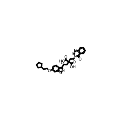 O=C(CC(CCn1nnc2ccccc2c1=O)(C(=O)O)C(=O)O)c1noc2cc(OCCC3CCCC3)ccc12